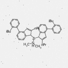 CCCC1=Cc2c(-c3ccccc3C(C)CC)cccc2[CH]1[Zr]([CH]1C(CCC)=Cc2c(-c3ccccc3C(C)CC)cccc21)[SiH](C)C